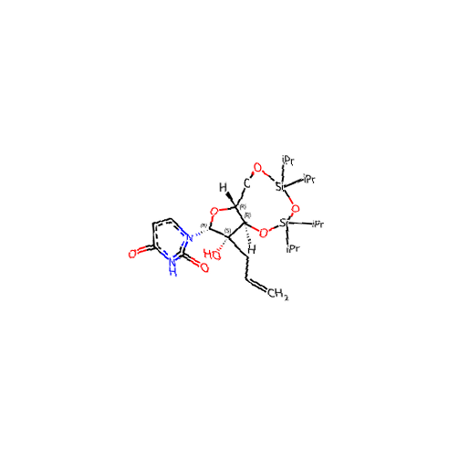 C=CC[C@]1(O)[C@@H]2O[Si](C(C)C)(C(C)C)O[Si](C(C)C)(C(C)C)OC[C@H]2O[C@H]1n1ccc(=O)[nH]c1=O